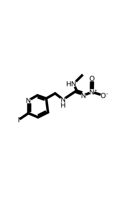 CN/C(=N\[N+](=O)[O-])NCc1ccc(I)nc1